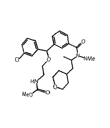 CNN(C(=O)c1cccc(C(OCCNC(=O)OC)c2cccc(Cl)c2)c1)C(C)CC1CCOCC1